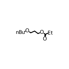 CCCCOCCCOC(=O)CC